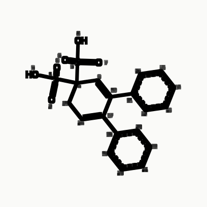 O=S(=O)(O)C1(S(=O)(=O)O)C=C(c2ccccc2)C(c2ccccc2)=CC1